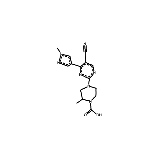 CC1CN(c2ncc(C#N)c(-c3cnn(C)c3)n2)CCN1C(=O)O